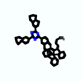 C\C=C/C=C1\C(=C2/C=c3ccc(-c4nc(-c5ccc6ccccc6c5)nc(-c5ccc6ccccc6c5)n4)cc3=CC2C)C2(c3ccccc31)c1ccccc1-c1ccccc12